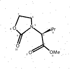 COC(=O)[C@H](C(C)C)N1CCOC1=O